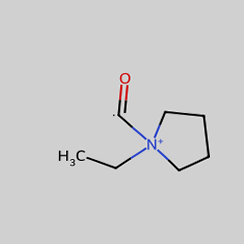 CC[N+]1([C]=O)CCCC1